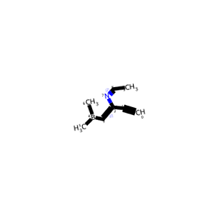 C#CC(=C/B(C)C)/N=C\C